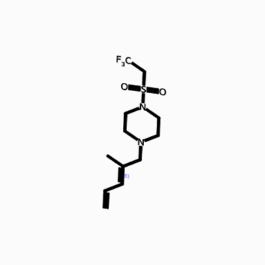 C=C/C=C(\C)CN1CCN(S(=O)(=O)CC(F)(F)F)CC1